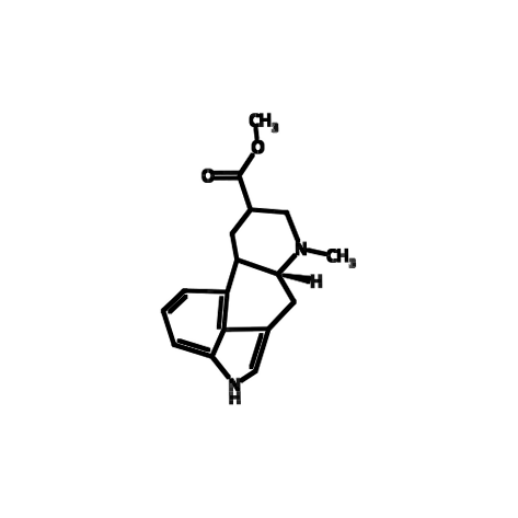 COC(=O)C1CC2c3cccc4[nH]cc(c34)C[C@H]2N(C)C1